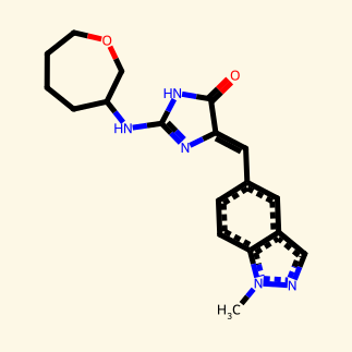 Cn1ncc2cc(/C=C3\N=C(NC4CCCCOC4)NC3=O)ccc21